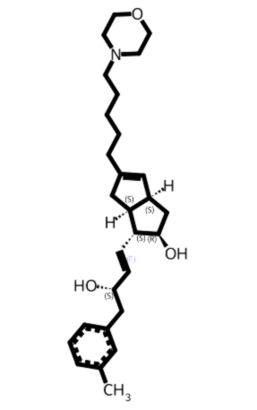 Cc1cccc(C[C@H](O)/C=C/[C@@H]2[C@H]3CC(CCCCCN4CCOCC4)=C[C@H]3C[C@H]2O)c1